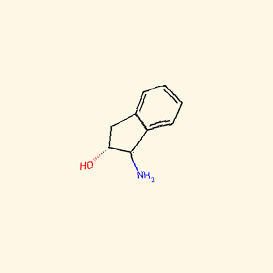 N[C]1c2ccccc2C[C@H]1O